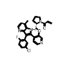 C=CC(=O)N1CCC[C@H]1COc1cnccc1-c1[nH]c2c(C)ccnc2c1-c1cc(Cl)ccc1F